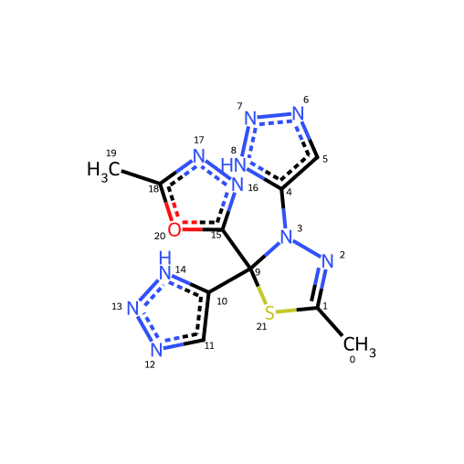 CC1=NN(c2cnn[nH]2)C(c2cnn[nH]2)(c2nnc(C)o2)S1